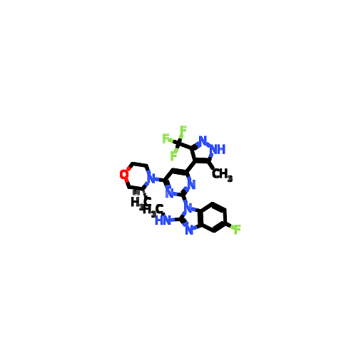 CNc1nc2cc(F)ccc2n1-c1nc(-c2c(C(F)(F)F)n[nH]c2C)cc(N2CCOC[C@H]2C)n1